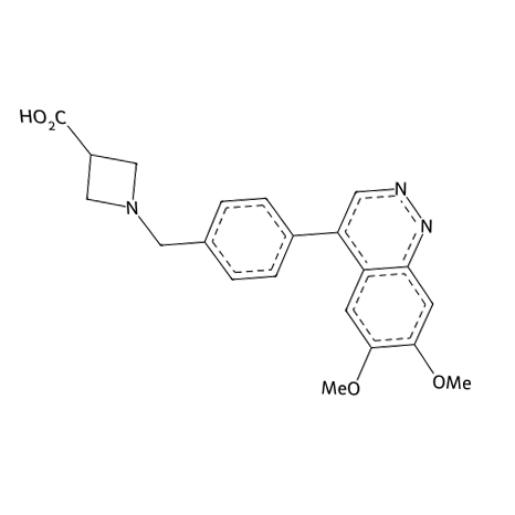 COc1cc2nncc(-c3ccc(CN4CC(C(=O)O)C4)cc3)c2cc1OC